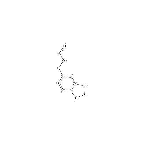 O=[C]OCc1ccc2c(c1)OCO2